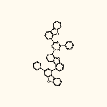 c1ccc(-c2cc(-c3cccc4sc5c(-c6nc(-c7ccccc7)nc(-c7cccc8c7oc7ccccc78)n6)cccc5c34)c3c(c2)oc2ccccc23)cc1